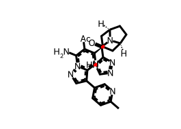 CC(=O)c1c([C@H]2C[C@H]3CC[C@@H](C2)N3C(=O)c2nnc[nH]2)nc2c(-c3ccc(C)nc3)cnn2c1N